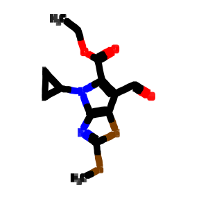 CCOC(=O)c1c(C=O)c2sc(SC)nc2n1C1CC1